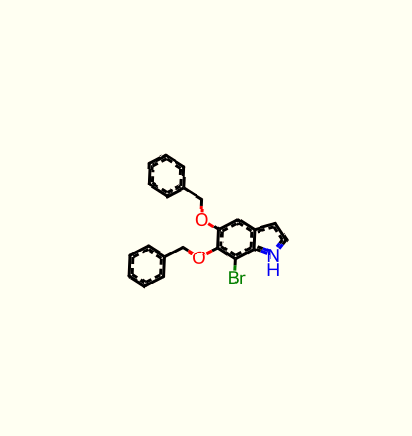 Brc1c(OCc2ccccc2)c(OCc2ccccc2)cc2cc[nH]c12